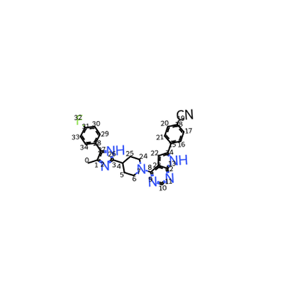 Cc1nc(C2CCN(c3ncnc4[nH]c(-c5ccc(C#N)cc5)cc34)CC2)[nH]c1-c1ccc(F)cc1